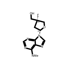 CNc1ncnc2c1ncn2[C@@H]1C[C@@](F)(CO)CO1